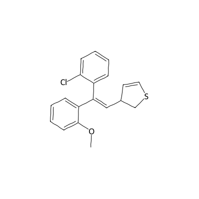 COc1ccccc1C(=CC1C=CSC1)c1ccccc1Cl